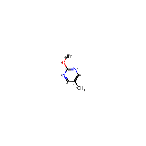 Cc1cnc(OC(C)C)nc1